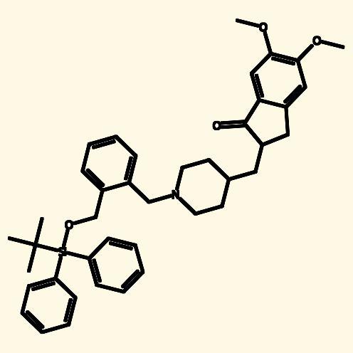 COc1cc2c(cc1OC)C(=O)C(CC1CCN(Cc3ccccc3CO[Si](c3ccccc3)(c3ccccc3)C(C)(C)C)CC1)C2